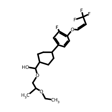 CCOC(C)COC(O)C1CCC(c2ccc(O/C=C\C(F)(F)F)c(F)c2)CC1